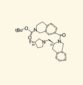 CC(C)(C)OC(=O)N1CCc2ccc(C(=O)N3Cc4ccccc4C[C@H]3CN3CC[C@@H](F)C3)cc2C1